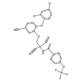 N#Cc1ccc(Oc2ccc(Cl)cc2Cl)c(OCC(C#N)(C#N)NC(=O)c2ccc(OC(F)(F)F)cc2)c1